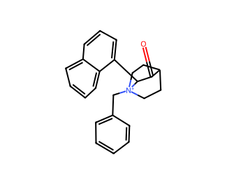 O=C1C2CC[N+](Cc3ccccc3)(CC2)C1c1cccc2ccccc12